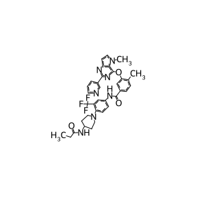 CCC(=O)NC1CCN(c2ccc(NC(=O)c3ccc(C)c(Oc4nc(-c5cccnc5)nc5ccn(C)c45)c3)cc2C(F)(F)F)CC1